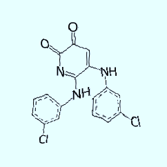 O=C1C=C(Nc2cccc(Cl)c2)C(Nc2cccc(Cl)c2)=NC1=O